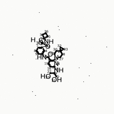 CC1(NS(=O)(=O)c2cccc(NC(=O)c3ccc(NC(CO)CO)nc3N3CCC4(CC3)CC4)c2)CCC1